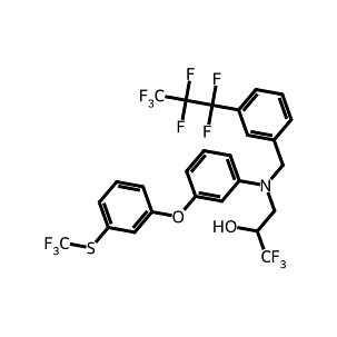 OC(CN(Cc1cccc(C(F)(F)C(F)(F)C(F)(F)F)c1)c1cccc(Oc2cccc(SC(F)(F)F)c2)c1)C(F)(F)F